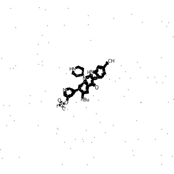 C#Cc1ccc2c(c1)[nH]c1c2c(=O)c2cc(CCCC)c(-c3cncc(OS(=O)(=O)F)c3)cc2n1C1CCNCC1